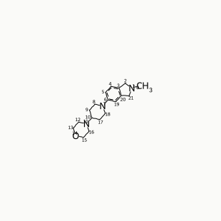 CN1Cc2ccc(N3CCC(N4CCOCC4)CC3)cc2C1